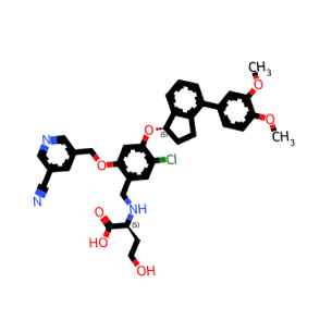 COc1ccc(-c2cccc3c2CC[C@@H]3Oc2cc(OCc3cncc(C#N)c3)c(CN[C@@H](CCO)C(=O)O)cc2Cl)cc1OC